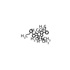 CCCc1ccccc1-c1cccc2c1C=C(CC(C)C)[CH]2[Zr]([CH]1C(CC(C)C)=Cc2c(-c3ccccc3CCC)cccc21)[SiH](C)C